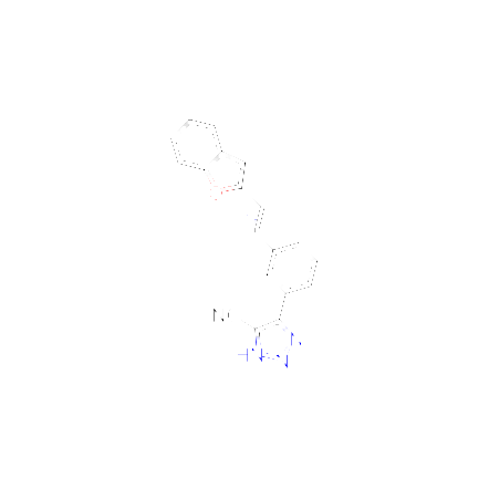 N#Cc1[nH]nnc1-c1cccc(/C=C/c2cc3ccccc3o2)c1